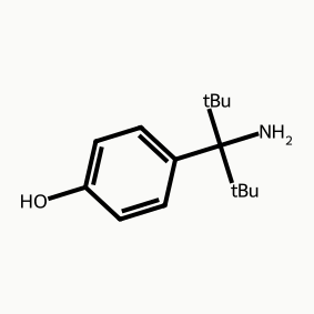 CC(C)(C)C(N)(c1ccc(O)cc1)C(C)(C)C